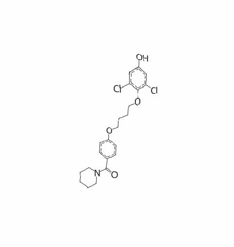 O=C(c1ccc(OCCCCOc2c(Cl)cc(O)cc2Cl)cc1)N1CCCCC1